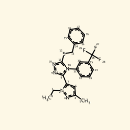 CCn1nc(C)cc1-c1nnc(SCc2ccccc2)n1-c1cccc(C(F)(F)F)c1